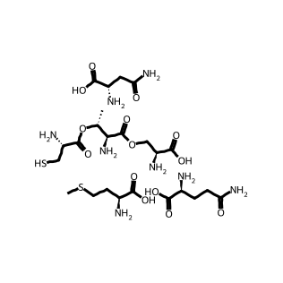 CSCC[C@H](N)C(=O)O.C[C@@H](OC(=O)[C@@H](N)CS)[C@H](N)C(=O)OC[C@H](N)C(=O)O.NC(=O)CC[C@H](N)C(=O)O.NC(=O)C[C@H](N)C(=O)O